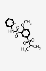 COc1ccc(S(=O)(=O)C(C)C)cc1S(=O)(=O)Nc1[c]cccc1